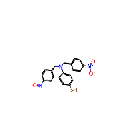 O=Nc1ccc(CN(Cc2ccc([N+](=O)[O-])cc2)c2ccc(S)cc2)cc1